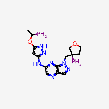 CC(P)Oc1cc(Nc2cnc3cnn(C[C@@]4(P)CCOC4)c3n2)n[nH]1